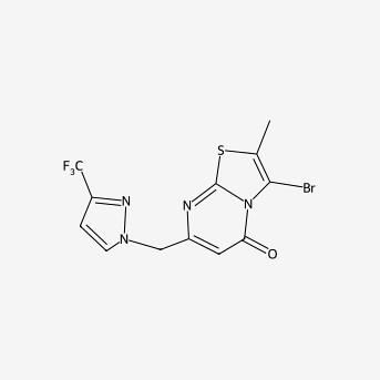 Cc1sc2nc(Cn3ccc(C(F)(F)F)n3)cc(=O)n2c1Br